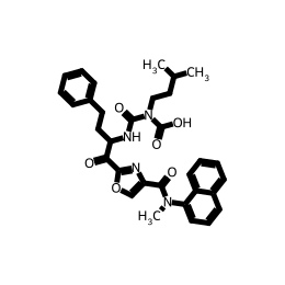 CC(C)CCN(C(=O)O)C(=O)NC(CCc1ccccc1)C(=O)c1nc(C(=O)N(C)c2cccc3ccccc23)co1